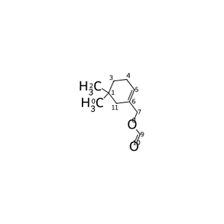 CC1(C)CCC=C(COC=O)C1